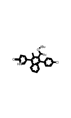 CC(=O)C(OC(C)(C)C)c1c(C)c(-c2ccc(=O)[nH]c2)c2ccccc2c1-c1ccc(Cl)cc1